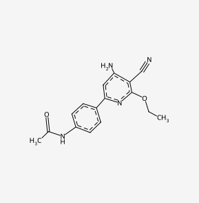 CCOc1nc(-c2ccc(NC(C)=O)cc2)cc(N)c1C#N